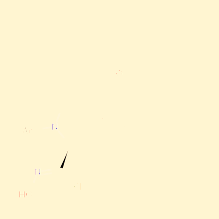 C=C(OCc1ccccc1)[C@H]1CN(C(C)=O)[C@H](/C(Cl)=N/O)CC12CC2